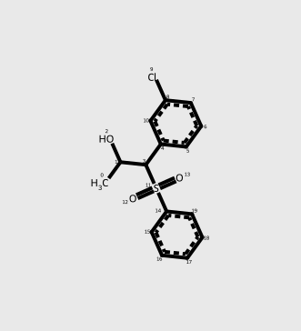 CC(O)C(c1cccc(Cl)c1)S(=O)(=O)c1ccccc1